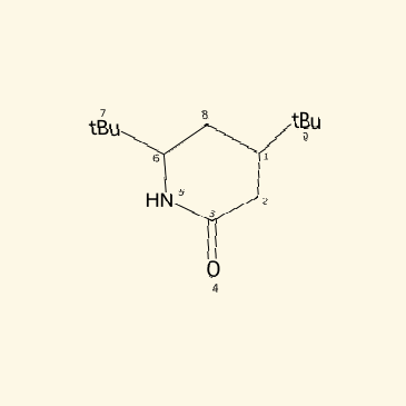 CC(C)(C)C1CC(=O)NC(C(C)(C)C)C1